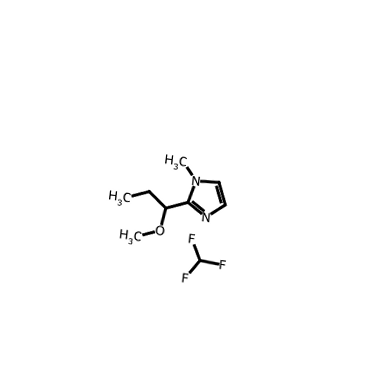 CCC(OC)c1nccn1C.FC(F)F